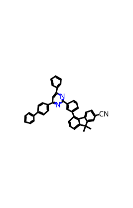 CC1(C)c2cc(C#N)ccc2-c2c(-c3cccc(-c4nc(-c5ccccc5)cc(-c5ccc(-c6ccccc6)cc5)n4)c3)cccc21